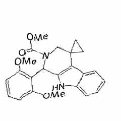 COC(=O)N1CC2(CC2)c2c([nH]c3ccccc23)C1c1c(OC)cccc1OC